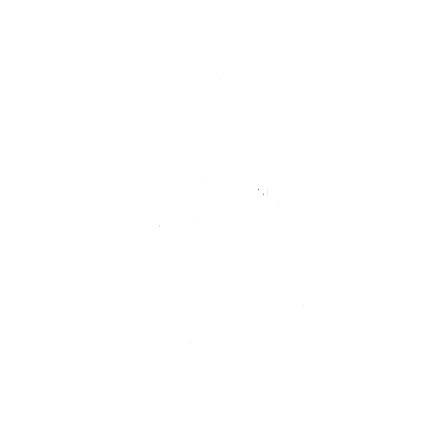 CC[C@@H](C)Oc1cc(C(=O)c2ccc(Cl)cc2)c(N)cc1OC